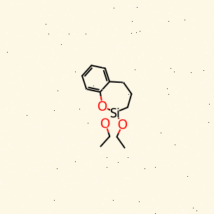 CCO[Si]1(OCC)CCCc2ccccc2O1